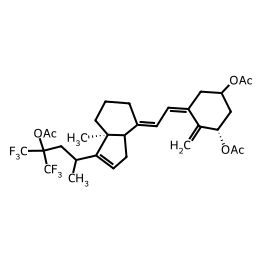 C=C1/C(=C\C=C2/CCC[C@]3(C)C(C(C)CC(OC(C)=O)(C(F)(F)F)C(F)(F)F)=CCC23)CC(OC(C)=O)C[C@@H]1OC(C)=O